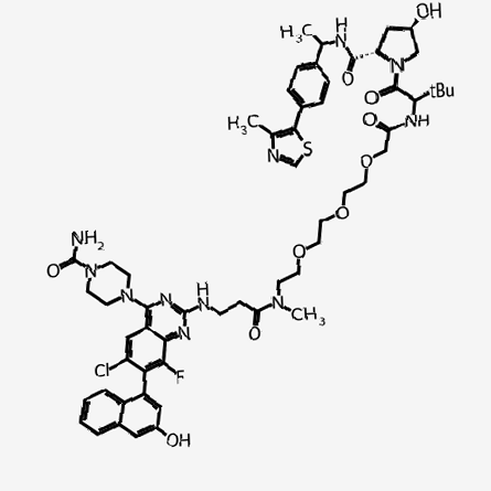 Cc1ncsc1-c1ccc(C(C)NC(=O)[C@@H]2C[C@@H](O)CN2C(=O)C(NC(=O)COCCOCCOCCN(C)C(=O)CCNc2nc(N3CCN(C(N)=O)CC3)c3cc(Cl)c(-c4cc(O)cc5ccccc45)c(F)c3n2)C(C)(C)C)cc1